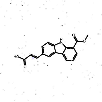 COC(=O)c1cccc2c1[nH]c1ccc(/C=C/C(=O)O)cc12